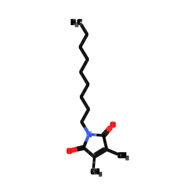 CCCCCCCCCN1C(=O)C(C)=C(C)C1=O